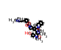 Cc1c(C(=O)N(C)c2ccc(O)cc2)cc(-c2cc3c(cc2C(=O)N2Cc4ccccc4C[C@H]2C)CN(C(=O)Oc2cccc(C#CCN(C)C)c2)CC3)n1C